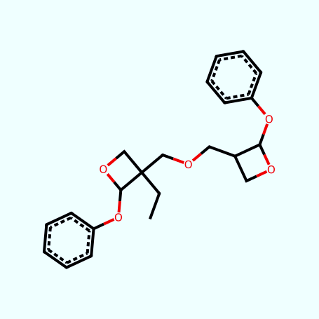 CCC1(COCC2COC2Oc2ccccc2)COC1Oc1ccccc1